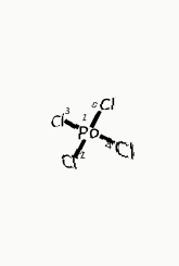 [Cl][Po]([Cl])([Cl])[Cl]